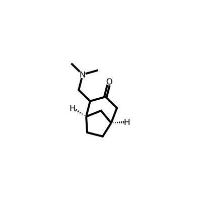 CN(C)CC1C(=O)C[C@H]2CC[C@@H]1C2